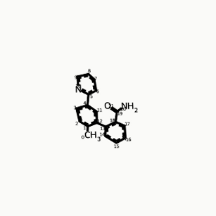 Cc1ccc(-c2ccccn2)cc1-c1cc[c]cc1C(N)=O